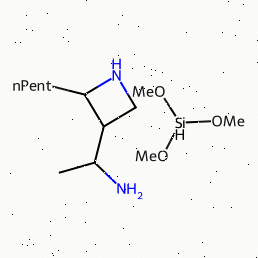 CCCCCC1NCC1C(C)N.CO[SiH](OC)OC